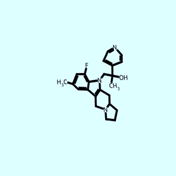 Cc1cc(F)c2c(c1)c1c(n2CC(C)(O)c2ccncc2)CC2CCCN2C1